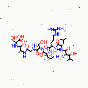 CC[C@H](C)[C@H](NC(=O)[C@@H](CCCNC(=N)N)NC(=O)[C@H](CC(C)C)NC(=O)[C@@H](N)[C@H](O)C(C)C)C(=O)N[C@H](C(=O)NCC(=O)N[C@@H](C)C(=O)N[C@@H](CO)C(=O)O)[C@H](C)O